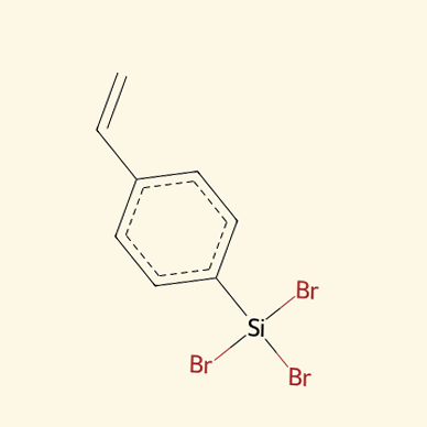 C=Cc1ccc([Si](Br)(Br)Br)cc1